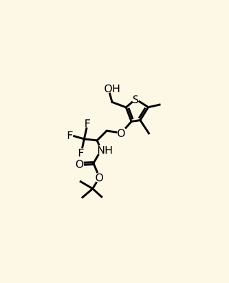 Cc1sc(CO)c(OCC(NC(=O)OC(C)(C)C)C(F)(F)F)c1C